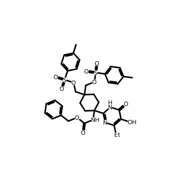 CCc1nc(C2(NC(=O)OCc3ccccc3)CCC(COS(=O)(=O)c3ccc(C)cc3)(COS(=O)(=O)c3ccc(C)cc3)CC2)[nH]c(=O)c1O